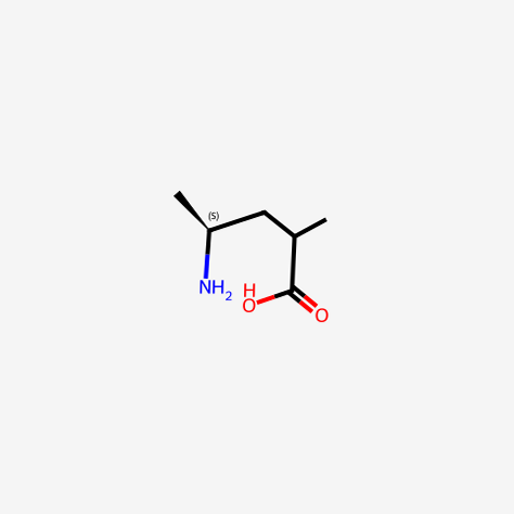 CC(C[C@H](C)N)C(=O)O